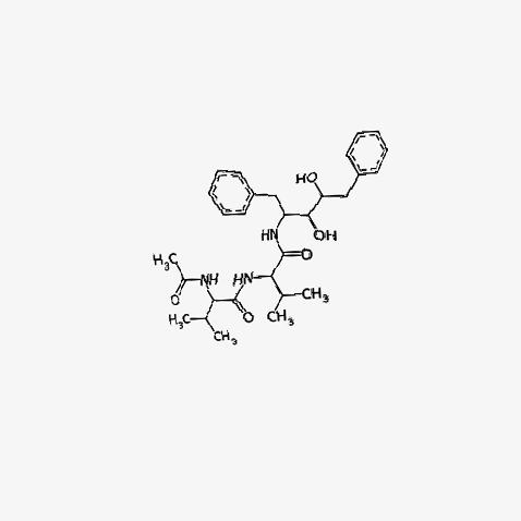 CC(=O)NC(C(=O)NC(C(=O)NC(Cc1ccccc1)C(O)C(O)Cc1ccccc1)C(C)C)C(C)C